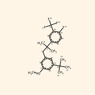 COc1cc(CC(C)(C)c2ccc(F)c(C(F)(F)F)c2)cc(C(C)(C)C)c1